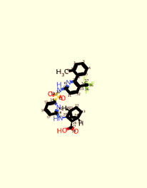 Cc1ccccc1-c1nc(NS(=O)(=O)c2cccc(N[C@H]3[C@@H]4CC[C@@H](C4)[C@H]3C(=O)O)n2)ccc1C(F)(F)F